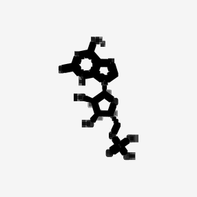 Nc1nc(=S)[nH]c2c1ncn2[C@@H]1O[C@H](COP(=O)(O)O)[C@@H](O)[C@H]1O